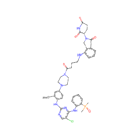 COc1cc(N2CCN(C(=O)CCCNc3cccc4c3CN(C3CCC(=O)NC3=O)C4=O)CC2)ccc1Nc1ncc(Cl)c(Nc2ccccc2P(C)(C)=O)n1